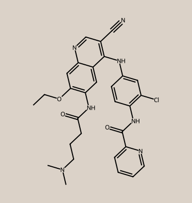 CCOc1cc2ncc(C#N)c(Nc3ccc(NC(=O)c4ccccn4)c(Cl)c3)c2cc1NC(=O)CCCN(C)C